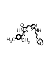 Cc1ccc(N=C2NC(=O)C(=Cc3cnc(NCCCN4CCOCC4)s3)S2)c(C)c1